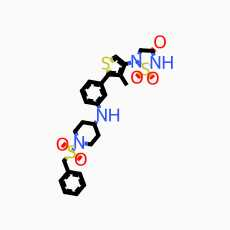 Cc1c(N2CC(=O)NS2(=O)=O)csc1-c1cccc(NC2CCN(S(=O)(=O)Cc3ccccc3)CC2)c1